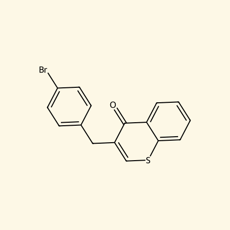 O=c1c(Cc2ccc(Br)cc2)csc2ccccc12